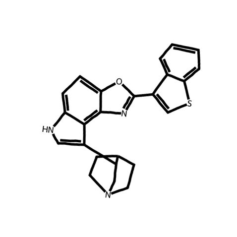 c1ccc2c(-c3nc4c(ccc5[nH]cc(C6CN7CCC6CC7)c54)o3)csc2c1